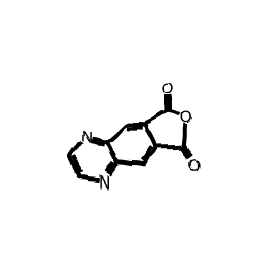 O=C1OC(=O)c2cc3nccnc3cc21